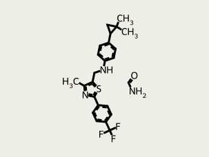 Cc1nc(-c2ccc(C(F)(F)F)cc2)sc1CNc1ccc(C2CC2(C)C)cc1.NC=O